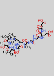 CC(C)C[C@H](NC(=O)[C@H](CO)NC(=O)[C@@H](NC(=O)[C@@H](NC(=O)[C@@H](N)C(C)C)[C@@H](C)O)C(C)C)C(=O)N[C@@H](C)C(=O)NCC(=O)NCC(=O)N[C@@H](CCC(=O)O)C(=O)N[C@@H](CCC(=O)O)C(=O)O